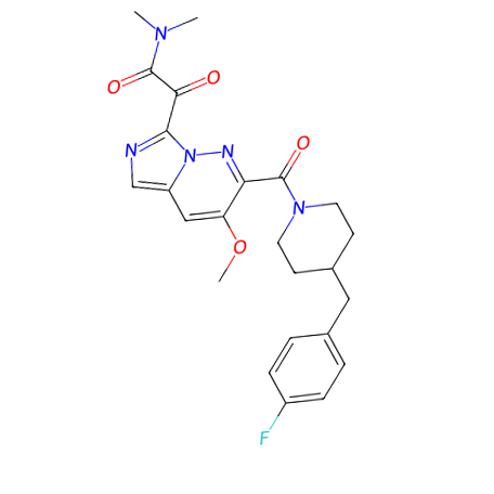 COc1cc2cnc(C(=O)C(=O)N(C)C)n2nc1C(=O)N1CCC(Cc2ccc(F)cc2)CC1